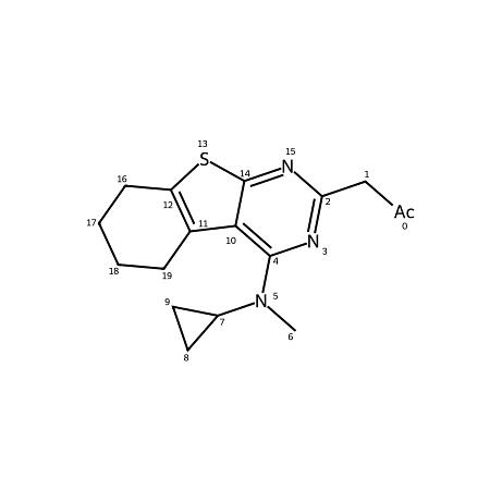 CC(=O)Cc1nc(N(C)C2CC2)c2c3c(sc2n1)CCCC3